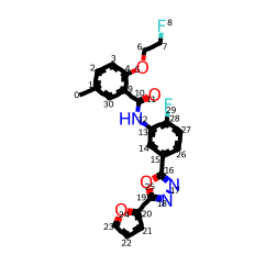 Cc1ccc(OCCF)c(C(=O)Nc2cc(-c3nnc(-c4ccco4)o3)ccc2F)c1